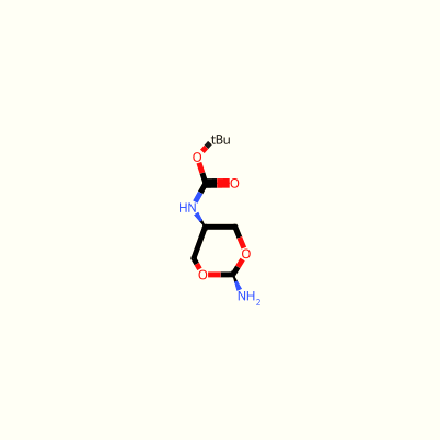 CC(C)(C)OC(=O)N[C@H]1CO[C@@H](N)OC1